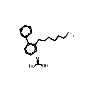 CCCCCCCc1ccccc1-c1ccccc1.O=C(O)O